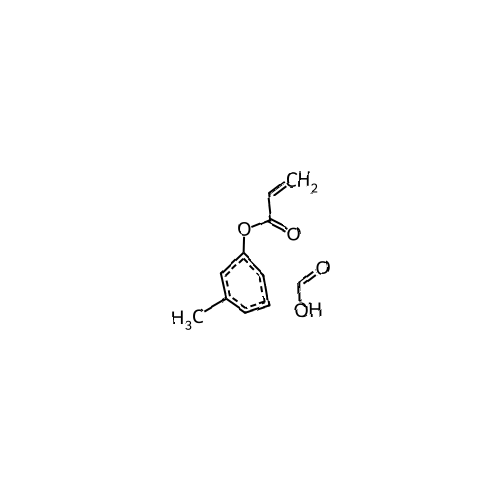 C=CC(=O)Oc1cccc(C)c1.O=CO